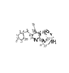 Cc1ccc(Cc2cnc(N3CCNC[C@H]3C(C)C)nc2C)cc1